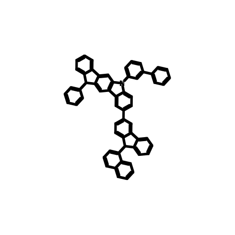 c1ccc(-c2cccc(-n3c4ccc(-c5ccc6c(c5)-c5ccccc5C6c5cccc6ccccc56)cc4c4cc5c(cc43)-c3ccccc3C5c3ccccc3)c2)cc1